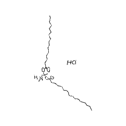 CCCCCCCCCCCCCCCC(=O)OC(C)(CN)OC(=O)CCCCCCCCCCCCCCC.Cl